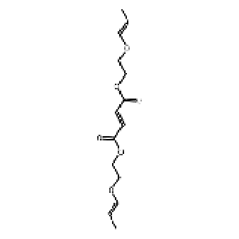 CC=COCCOC(=O)C=CC(=O)OCCOC=CC